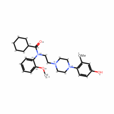 COc1cc(O)ccc1N1CCN(CCN(C(=O)C2CCCCC2)c2ccccc2OC(F)(F)F)CC1